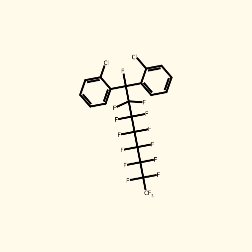 FC(F)(F)C(F)(F)C(F)(F)C(F)(F)C(F)(F)C(F)(F)C(F)(F)C(F)(c1ccccc1Cl)c1ccccc1Cl